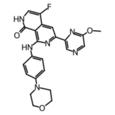 COc1cncc(-c2cc3c(F)c[nH]c(=O)c3c(Nc3ccc(N4CCOCC4)cc3)n2)n1